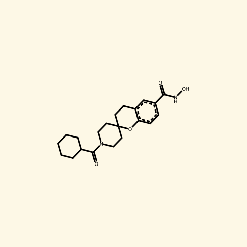 O=C(NO)c1ccc2c(c1)CCC1(CCN(C(=O)C3CCCCC3)CC1)O2